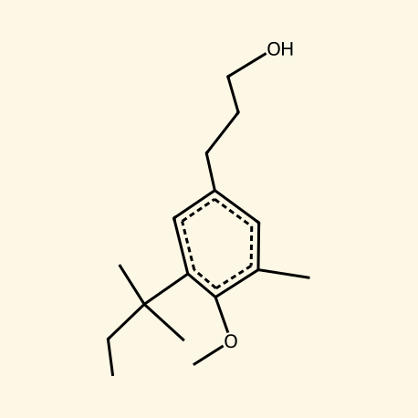 CCC(C)(C)c1cc(CCCO)cc(C)c1OC